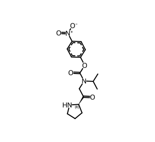 CC(C)N(CC(=O)[C@H]1CCCN1)C(=O)Oc1ccc([N+](=O)[O-])cc1